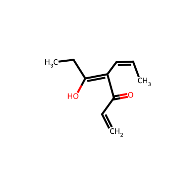 C=CC(=O)C(/C=C\C)=C(\O)CC